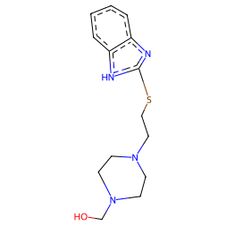 OCN1CCN(CCSc2nc3ccccc3[nH]2)CC1